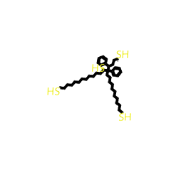 S[CH]CCC(c1ccccc1)C(CCCCCCCCCCCCS)([C](S)CCCCCCCCCCCCS)c1ccccc1